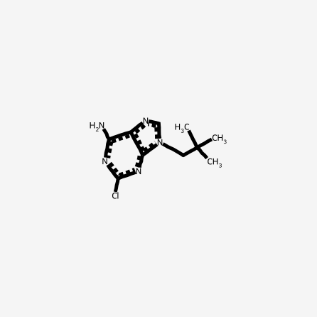 CC(C)(C)Cn1cnc2c(N)nc(Cl)nc21